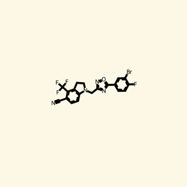 N#Cc1ccc2c(c1C(F)(F)F)CCN2Cc1noc(-c2ccc(F)c(Br)c2)n1